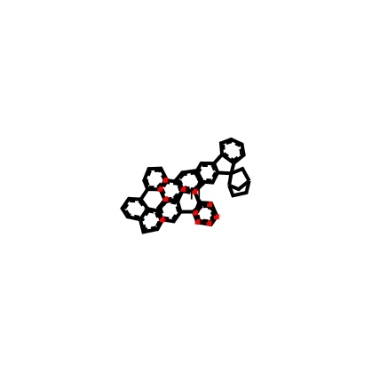 c1ccc(-c2ccccc2-c2ccccc2-c2ccccc2N(c2cccc(-c3cccc4cccc(-c5ccccc5)c34)c2)c2ccc3c(c2)C2(CC4CCC2C4)c2ccccc2-3)cc1